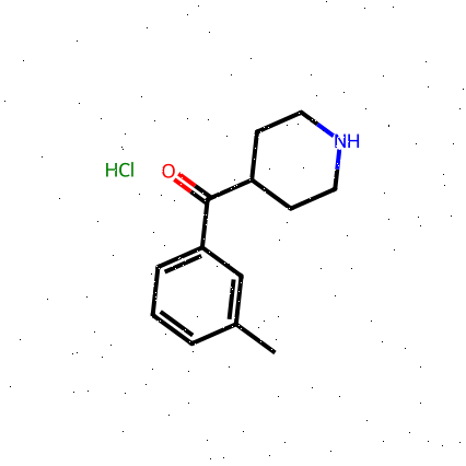 Cc1cccc(C(=O)C2CCNCC2)c1.Cl